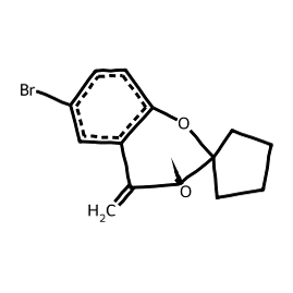 C=C1c2cc(Br)ccc2OC2(CCCC2)C12COC2